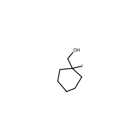 OCC1(I)CCCCC1